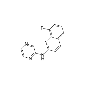 Fc1cccc2ccc(Nc3cnccn3)nc12